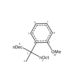 CCCCCCCCCCC(C)(CCCCCCCC)c1ccccc1OC